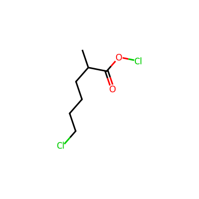 CC(CCCCCl)C(=O)OCl